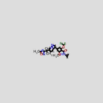 COc1cc(-c2cnn3cc(C(C)(C)c4noc(C)n4)ccc23)cc(OC(F)F)c1C(=O)NC1CC1